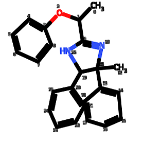 CC(Oc1ccccc1)C1=NC(C)(c2ccccc2)C(c2ccccc2)N1